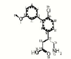 COc1cccc(-c2cc([C@H](CN)CC(=O)O)ccc2Cl)c1